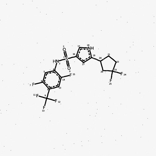 O=S(=O)(Nc1cc(F)c(C(F)(F)F)cc1F)c1c[nH]c(C2CCC(F)(F)C2)c1